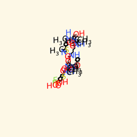 Cc1ncsc1-c1ccc(C(C)NC(=O)[C@@H]2C[C@@H](O)CN2C(=O)C(NC(=O)CCCCNC(=O)CO[C@H]2C[C@@H](C(=O)N3CCO[C@H](c4ccccc4)C3)N(C(=O)C(NC(=O)c3cc4cc(C(F)(F)P(=O)(O)O)ccc4s3)C(C)(C)C)C2)C(C)(C)C)cc1